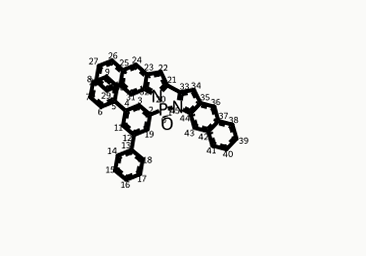 O=P1(c2cc(-c3ccccc3)cc(-c3ccccc3)c2)n2c(cc3cc4ccccc4cc32)-c2cc3cc4ccccc4cc3n21